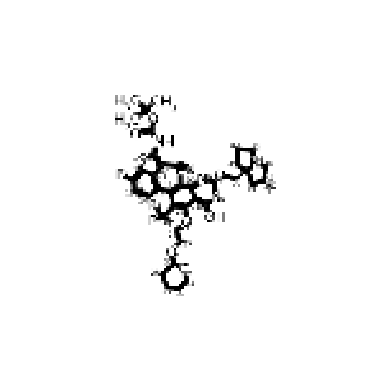 CC(C)(C)OC(=O)Nc1sc2c(F)ccc(-c3c(C(F)(F)F)c(OCCOC4CCCCO4)c4c(O)nc(OC[C@@]56CCCN5C[C@H](F)C6)nc4c3F)c2c1C#N